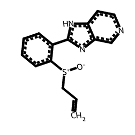 C=CC[S+]([O-])c1ccccc1-c1nc2cnccc2[nH]1